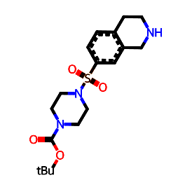 CC(C)(C)OC(=O)N1CCN(S(=O)(=O)c2ccc3c(c2)CNCC3)CC1